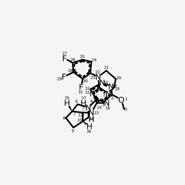 COc1cc(N2C[C@H]3CC[C@@H](C2)[C@@H]3Nc2nc3n(n2)CCCN3c2ccc(F)c(F)c2F)cnn1